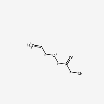 C=CCOCC(=O)CCl